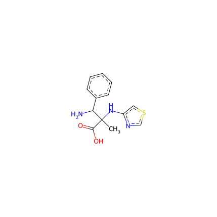 CC(Nc1cscn1)(C(=O)O)C(N)c1ccccc1